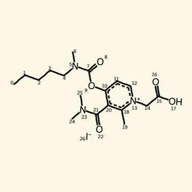 CCCCCN(C)C(=O)Oc1cc[n+](CC(=O)O)c(C)c1C(=O)N(C)C.[I-]